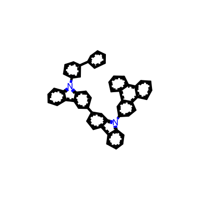 c1ccc(-c2cccc(-n3c4ccccc4c4cc(-c5ccc6c7ccccc7n(-c7ccc8c9ccccc9c9ccccc9c8c7)c6c5)ccc43)c2)cc1